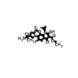 CCOC(=O)c1c(S)n(C2CC2)c2c(OC(F)F)c(N3CCC(C(C)(C)N)C3)c(F)cc2c1=O